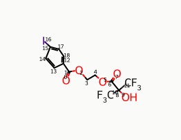 O=C(OCCOC(=O)C(O)(C(F)(F)F)C(F)(F)F)c1ccc(I)cc1